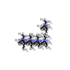 CCCC(C)(C)c1[nH]c(C(C)CC)nc1C(C)(C)CC.CCCC(C)(C)c1[nH]c(C(C)CC)nc1C(C)(C)CC.CCCCC(C)(C)c1[nH]c(C(C)CC)nc1C(C)(C)CC.CCCCC(C)(C)c1[nH]c(C(C)CC)nc1C(C)(C)CC.CCCCCC(C)(C)c1[nH]c(C(C)CC)nc1C(C)(C)CC